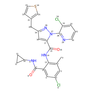 Cc1cc(Cl)cc(C(=O)NC2CC2)c1NC(=O)c1cc(Cc2ccsc2)nn1-c1ncccc1Cl